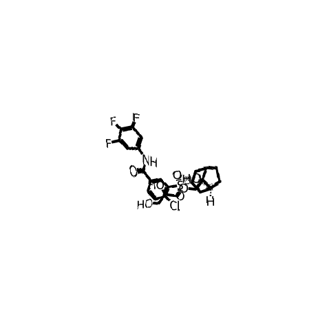 O=C(Nc1cc(F)c(F)c(F)c1)c1ccc(Cl)c(S(=O)(=O)[C@@H]2CC3CC[C@@H](C2)[C@@]3(O)COCC(O)CO)c1